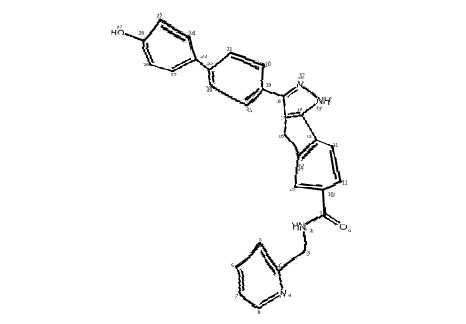 O=C(NCc1ccccn1)c1ccc2c(c1)Cc1c(-c3ccc(-c4ccc(O)cc4)cc3)n[nH]c1-2